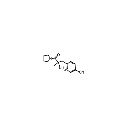 CC(N)(Cc1ccc(C#N)cc1)C(=O)N1CCCC1